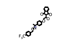 C/C(=N\OCc1ccc(C(F)(F)F)cc1)c1ccc(OCC(=O)C2C(=O)c3ccccc3C2=O)cc1